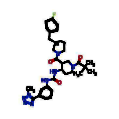 Cn1nnnc1-c1cccc(NC(=O)NC2CCN(C(=O)C(C)(C)C)CC2C(=O)N2CCC[C@H](Cc3ccc(F)cc3)C2)c1